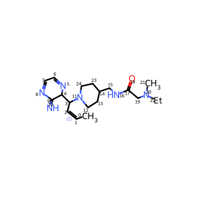 C/C=C\C(C1N=CC=NC1=N)N1CCC(CNC(=O)CN(C)CC)CC1